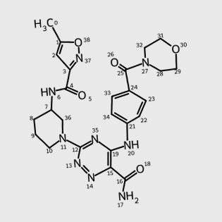 Cc1cc(C(=O)NC2CCCN(c3nnc(C(N)=O)c(Nc4ccc(C(=O)N5CCOCC5)cc4)n3)C2)no1